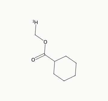 [2H]COC(=O)C1CCCCC1